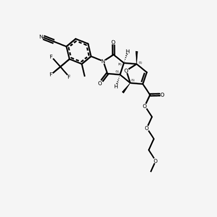 COCCOCOC(=O)C1=C[C@]2(C)O[C@@]1(C)[C@H]1C(=O)N(c3ccc(C#N)c(C(F)(F)F)c3C)C(=O)[C@H]12